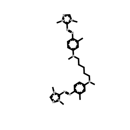 Cc1cc(N(C)CCCCCN(C)c2ccc(N=Nc3n(C)nc[n+]3C)c(C)c2)ccc1N=Nc1n(C)nc[n+]1C